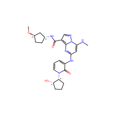 CNc1cc(Nc2cccn([C@@H]3CCC[C@@H]3O)c2=O)nc2c(C(=O)N[C@@H]3CC[C@@H](OC)C3)cnn12